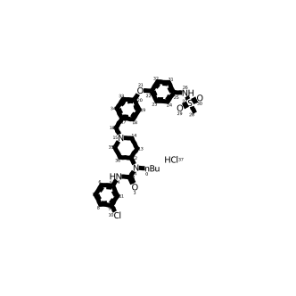 CCCCN(C(=O)Nc1cccc(Cl)c1)C1CCN(Cc2ccc(Oc3ccc(NS(C)(=O)=O)cc3)cc2)CC1.Cl